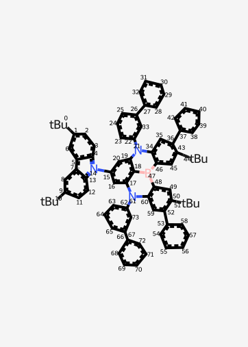 CC(C)(C)c1ccc2c(c1)c1cc(C(C)(C)C)ccc1n2-c1cc2c3c(c1)N(c1cccc(-c4ccccc4)c1)c1cc(-c4ccccc4)c(C(C)(C)C)cc1B3c1cc(C(C)(C)C)c(-c3ccccc3)cc1N2c1cccc(-c2ccccc2)c1